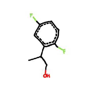 C[C](CO)c1cc(F)ccc1F